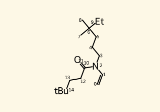 C=CN(CCCC(C)(C)CC)C(=O)CCC(C)(C)C